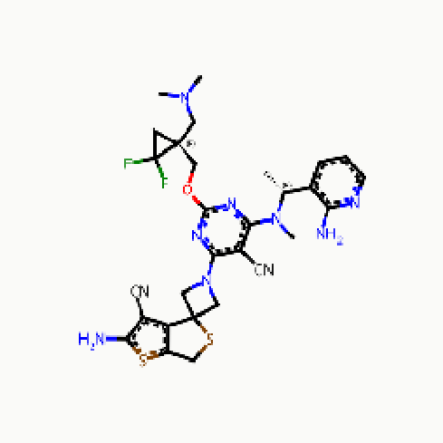 C[C@H](c1cccnc1N)N(C)c1nc(OC[C@]2(CN(C)C)CC2(F)F)nc(N2CC3(C2)SCc2sc(N)c(C#N)c23)c1C#N